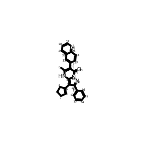 Cc1[nH]c2c(C3=CCCC3)c(-c3ccccc3)nn2c(=O)c1-c1ccc2ncccc2c1